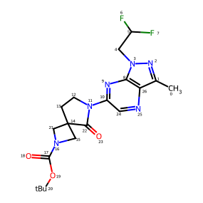 Cc1nn(CC(F)F)c2nc(N3CCC4(CN(C(=O)OC(C)(C)C)C4)C3=O)cnc12